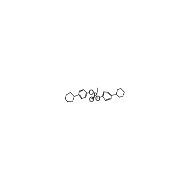 CCP(=O)(Oc1ccc(C2CCCCC2)cc1)Oc1ccc(C2CCCCC2)cc1